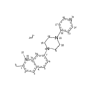 Cc1ccc2ccc(N3CCN(c4ccncc4)CC3)cc2[n+]1C.[I-]